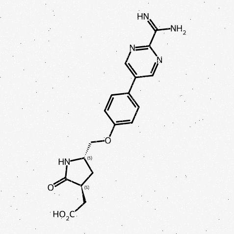 N=C(N)c1ncc(-c2ccc(OC[C@@H]3C[C@@H](CC(=O)O)C(=O)N3)cc2)cn1